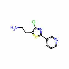 NCCc1sc(-c2cccnc2)nc1Cl